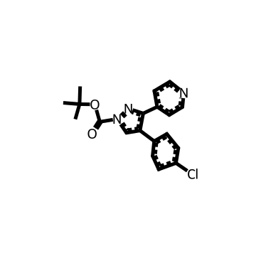 CC(C)(C)OC(=O)n1cc(-c2ccc(Cl)cc2)c(-c2ccncc2)n1